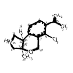 C=C(C)c1ccc2c(c1Cl)CO[C@@]1(C)CNC[C@@H]21